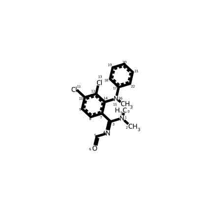 CN(C)/C(=N/C=O)c1ccc(Cl)c(Cl)c1N(C)c1ccccc1